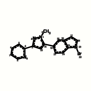 Cn1nc(-c2ccccn2)cc1-c1ccc2c(ccn2Br)c1